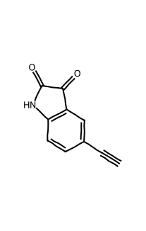 C#Cc1ccc2c(c1)C(=O)C(=O)N2